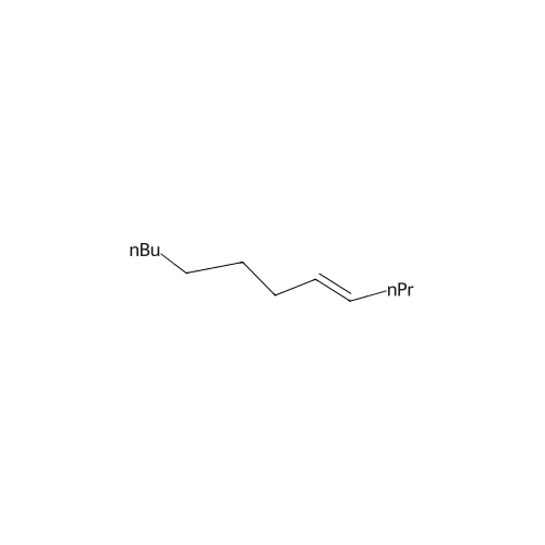 [CH2]CCC=CCCCCCCC